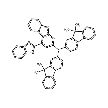 CC1(C)c2ccccc2-c2ccc(N(c3ccc4c(c3)C(C)(C)c3ccccc3-4)c3cc(-c4nc5ccccc5o4)c4c(c3)oc3ccccc34)cc21